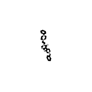 O=c1c2c3c(sc2ncn1CCN1CCN(c2ccccc2)CC1)CN(Cc1ccccc1)CC3